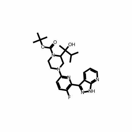 CC(C)C(C)(O)C1CN(c2ccc(F)c(-c3n[nH]c4ncccc34)n2)CCN1C(=O)OC(C)(C)C